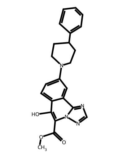 COC(=O)c1c(O)c2ccc(N3CCC(c4ccccc4)CC3)cc2c2ncnn12